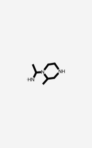 CC([NH])N1CCNCC1C